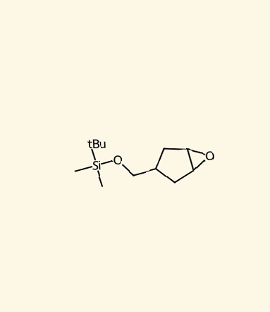 CC(C)(C)[Si](C)(C)OCC1CC2OC2C1